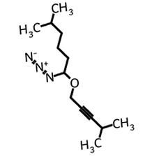 CC(C)C#CCOC(CCCC(C)C)N=[N+]=[N-]